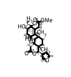 C=C1C2CC[C@]3(C)[C@@H](c4ccoc4)OC(=O)C[C@]13O[C@H]1C[C@@H](O)C(C)(C)C(CC(=O)OC)[C@@]21C